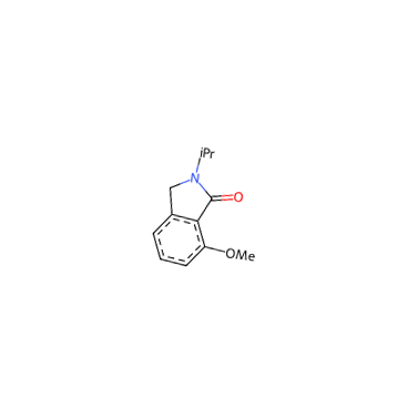 COc1cccc2c1C(=O)N(C(C)C)C2